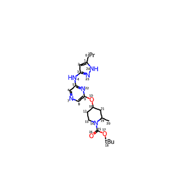 CC(C)c1cc(Nc2cncc(OC3CCN(C(=O)OC(C)(C)C)C(C)C3)n2)n[nH]1